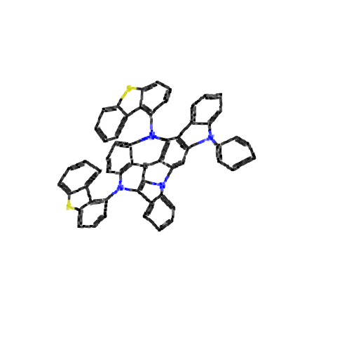 c1ccc(-n2c3ccccc3c3c4c5c(cc32)-n2c3c(c6ccccc62)N(c2cccc6sc7ccccc7c26)c2cccc(c2B53)N4c2cccc3sc4ccccc4c23)cc1